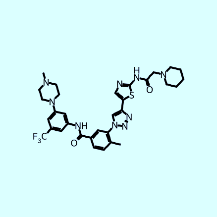 Cc1ccc(C(=O)Nc2cc(N3CCN(C)CC3)cc(C(F)(F)F)c2)cc1-n1cc(-c2cnc(NC(=O)CN3CCCCC3)s2)nn1